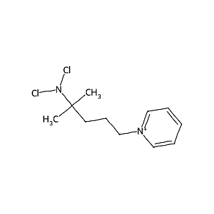 CC(C)(CCC[n+]1ccccc1)N(Cl)Cl